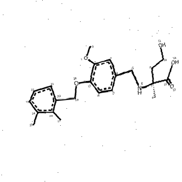 COc1cc(CN[C@@](C)(CCO)C(=O)O)ccc1OCc1cccc(C)c1C